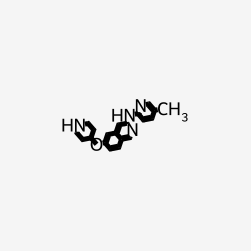 Cc1ccc(Nc2cc3cc(OC4CCNCC4)ccc3cn2)nc1